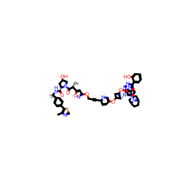 Cc1ncsc1-c1ccc([C@H](C)NC(=O)[C@@H]2C[C@@H](O)CN2C(=O)[C@H](c2cc(OCC#Cc3ccc(OC4CC(Oc5cc(N6C7CCC6CN(c6cc(-c8ccccc8O)nnc6N)C7)ccn5)C4)cn3)no2)C(C)C)cc1